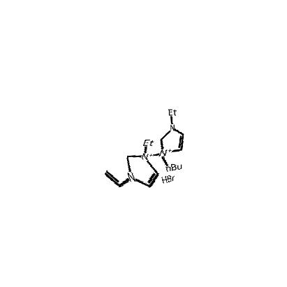 Br.C=CN1C=C[N+](CC)([N+]2(CCCC)C=CN(CC)C2)C1